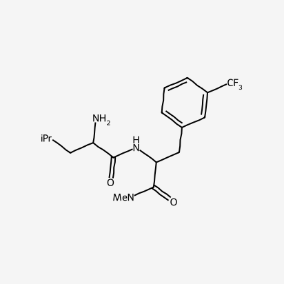 CNC(=O)C(Cc1cccc(C(F)(F)F)c1)NC(=O)C(N)CC(C)C